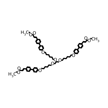 CCOC(=O)/C=C/c1ccc(-c2ccc(OCCCCCCOCC(COCCCCCCOc3ccc(-c4ccc(/C=C/C(=O)OCC)cc4)cc3)OCCCCCCOc3ccc(-c4ccc(/C=C/C(=O)OCC)cc4)cc3)cc2)cc1